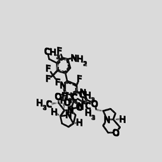 CCc1c(F)c(N)cc(-c2nc3c4c(nc(OC[C@@H]5CC[C@H]6COCCN65)nc4c2F)N2C[C@H]4CC[C@@H]([C@H]2[C@H](C)O3)N4C(=O)OC(C)(C)C)c1C(F)(F)F